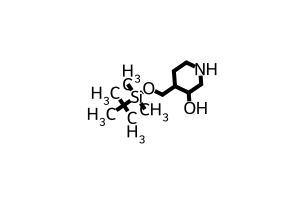 CC(C)(C)[Si](C)(C)OCC1CCNCC1O